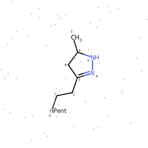 CCCCCCCC1=NNC(C)C1